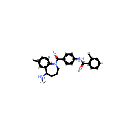 CCCNC1CCCN(C(=O)c2ccc(NC(=O)c3ccccc3C)cc2)c2ccc(C)cc21